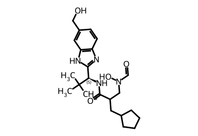 CC(C)(C)[C@H](NC(=O)C(CC1CCCC1)CN(O)C=O)c1nc2ccc(CO)cc2[nH]1